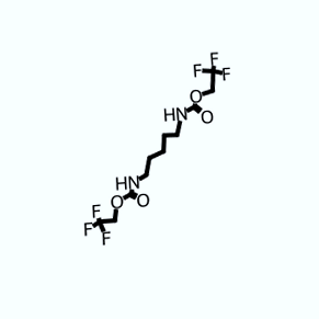 O=C(NCCCCCNC(=O)OCC(F)(F)F)OCC(F)(F)F